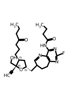 C#C[C@]1(CO)O[C@@H](CC2C=Nc3c(nc(F)nc3NC(=O)CCC)CC2)C[C@@H]1CCCC(=O)CCC